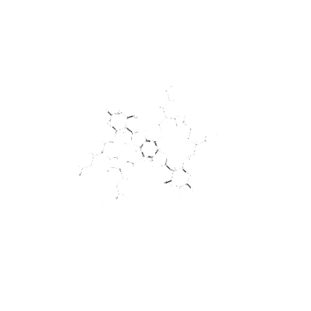 CCCCC(CC)COC1=NC(=O)NC(=O)C1=C1Sc2c(OCC(CC)CCCC)c3c(c(OCC(CC)CCCC)c2S1)SC(=C1C(=O)NC(=O)N=C1OCC(CC)CCCC)S3